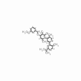 COc1cccc(COc2cc(C)n(-c3cc(-c4nc(C(C)C)ncc4C)ncc3C)c(=O)c2C)n1